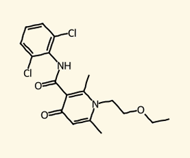 CCOCCn1c(C)cc(=O)c(C(=O)Nc2c(Cl)cccc2Cl)c1C